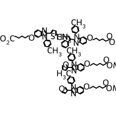 COC(=O)CCCCCOc1ccc2nc(-c3c[nH]c4ccccc34)n(-c3ccc(C)cc3)c2c1.COC(=O)CCCCCOc1ccc2nc(-c3ccco3)n(-c3ccc(C)cc3)c2c1.COC(=O)CCCCCOc1ccc2nc(-c3ccoc3)n(-c3ccc(C)cc3)c2c1.Cc1ccc(-n2c(-c3ccc(C)s3)nc3ccc(OCCCCCC(=O)O)cc32)cc1